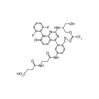 Cc1ccc(NC(=O)CCNC(=O)CCC(=O)O)cc1-c1nc(NC(CO)COC(=O)C(F)(F)F)nc2c1ccc(=O)n2-c1c(F)cccc1F